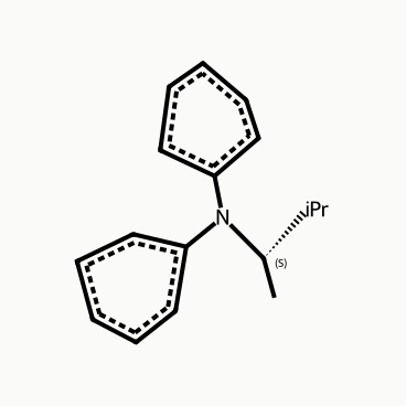 CC(C)[C@H](C)N(c1ccccc1)c1ccccc1